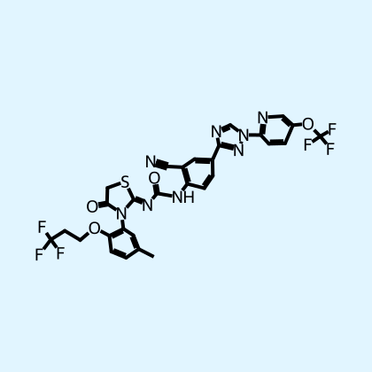 Cc1ccc(OCCC(F)(F)F)c(N2C(=O)CSC2=NC(=O)Nc2ccc(-c3ncn(-c4ccc(OC(F)(F)F)cn4)n3)cc2C#N)c1